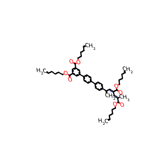 C=CCCCCOC(=O)/C(C)=C/C(=C\C(=C)c1ccc(-c2ccc(-c3cc(C(=O)OCCCCC=C)cc(C(=O)OCCCCC=C)c3)cc2)cc1)C(=O)OCCCCC=C